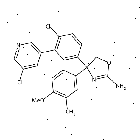 COc1ccc(C2(c3ccc(Cl)c(-c4cncc(Cl)c4)c3)COC(N)=N2)cc1C